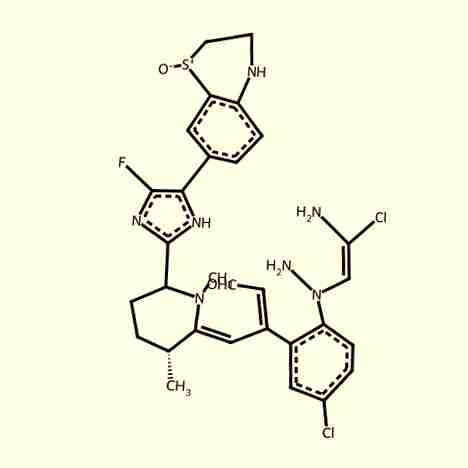 C[C@@H]1CCC(c2nc(F)c(-c3ccc4c(c3)[S+]([O-])CCN4)[nH]2)N(C)/C1=C\C(=C/C=O)c1cc(Cl)ccc1N(N)/C=C(\N)Cl